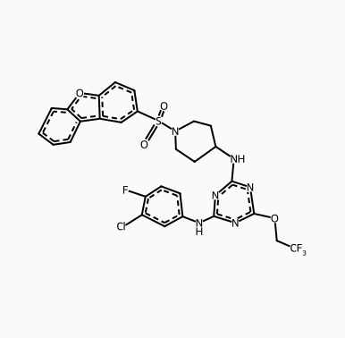 O=S(=O)(c1ccc2oc3ccccc3c2c1)N1CCC(Nc2nc(Nc3ccc(F)c(Cl)c3)nc(OCC(F)(F)F)n2)CC1